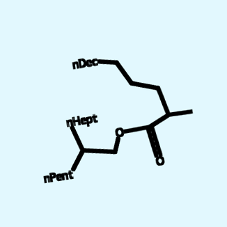 CCCCCCCCCCCCCC(C)C(=O)OCC(CCCCC)CCCCCCC